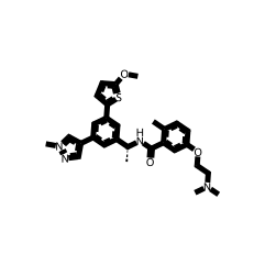 COc1ccc(-c2cc(-c3cnn(C)c3)cc([C@@H](C)NC(=O)c3cc(OCCN(C)C)ccc3C)c2)s1